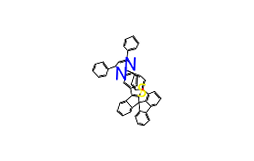 c1ccc(-c2cc(-c3ccccc3)nc(-c3ccc(-c4cccc5c4C4(c6ccccc6-5)c5ccccc5-c5c4sc4ccccc54)cc3)n2)cc1